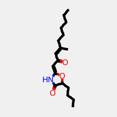 CCCCCC/C(C)=C/C(=O)C=C1NC(=O)C(CCCC)O1